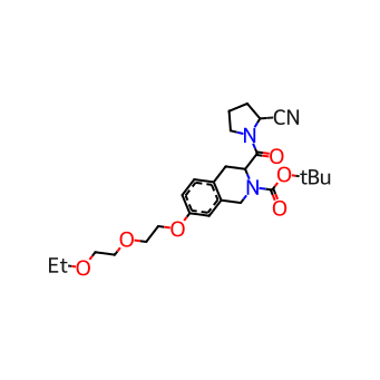 CCOCCOCCOc1ccc2c(c1)CN(C(=O)OC(C)(C)C)C(C(=O)N1CCCC1C#N)C2